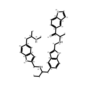 CCC(Cc1ccc2oc(CNC(C)C(=O)c3ccc4occc4c3)cc2c1)NCc1cc2cc(CC(C)NC)ccc2o1